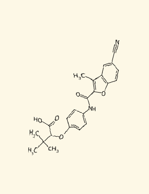 Cc1c(C(=O)Nc2ccc(OC(C(=O)O)C(C)(C)C)cc2)oc2ccc(C#N)cc12